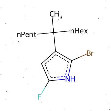 CCCCCCC(C)(CCCCC)c1cc(F)[nH]c1Br